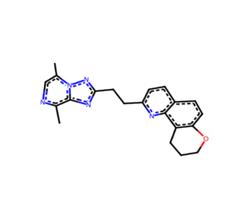 Cc1ncc(C)n2nc(CCc3ccc4ccc5c(c4n3)CCCO5)nc12